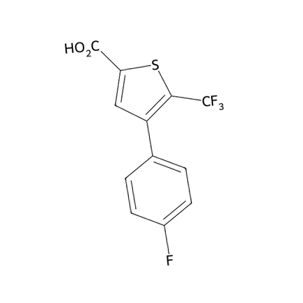 O=C(O)c1cc(-c2ccc(F)cc2)c(C(F)(F)F)s1